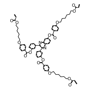 C=CC(=O)OCCCCCCOc1ccc(C(=O)Oc2cccc(-c3nc4ccc(OC(=O)c5ccc(OCCCCCCOC(=O)C=C)cc5)cc4nc3-c3cccc(OC(=O)c4ccc(OCCCCCCOC(=O)C=C)cc4)c3)c2)cc1